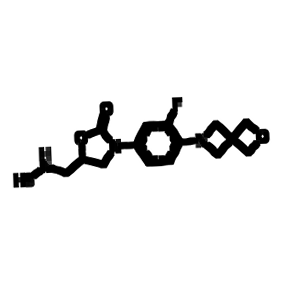 O=C1OC(CNS)CN1c1ccc(N2CC3(COC3)C2)c(F)c1